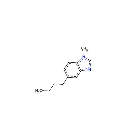 CCCCc1ccc2c(c1)ncn2C